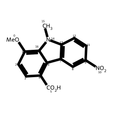 COc1ccc(C(=O)O)c2c3cc([N+](=O)[O-])ccc3n(C)c12